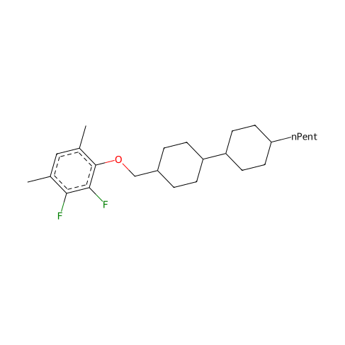 CCCCCC1CCC(C2CCC(COc3c(C)cc(C)c(F)c3F)CC2)CC1